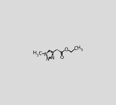 CCOC(=O)Cc1cn(C)nn1